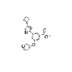 COC(=O)c1cc(O[C@H]2CCOC2)cc(-c2ncc(C3CCC3)s2)c1